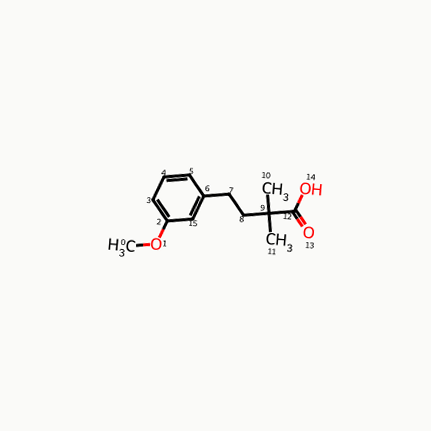 COc1cccc(CCC(C)(C)C(=O)O)c1